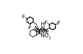 COC1(OC)C2CCCC1N(Cc1ccc(F)cc1F)C(NCc1ccc(F)cc1F)=C2[N+](=O)[O-]